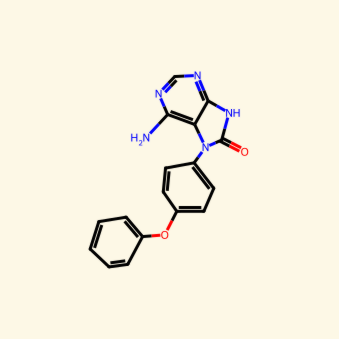 Nc1ncnc2[nH]c(=O)n(-c3ccc(Oc4ccccc4)cc3)c12